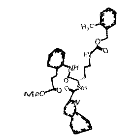 COC(=O)CCc1ccccc1NC(=O)[C@H](CCCNC(=O)OCc1ccccc1C)NC(=O)c1ccc2ccccc2n1